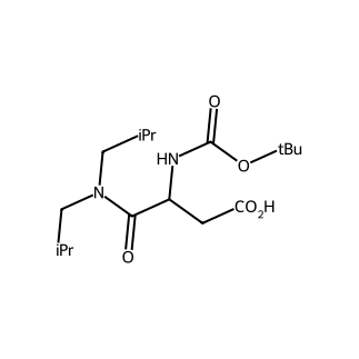 CC(C)CN(CC(C)C)C(=O)C(CC(=O)O)NC(=O)OC(C)(C)C